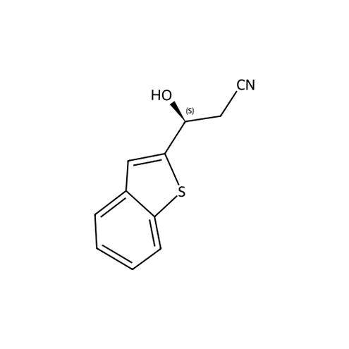 N#CC[C@H](O)c1cc2ccccc2s1